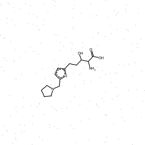 NC(C(=O)O)C(O)CCc1ccc(CN2CCCC2)s1